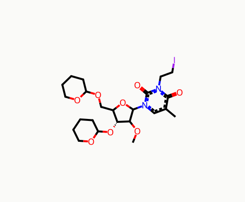 COC1C(n2cc(C)c(=O)n(CCI)c2=O)OC(COC2CCCCO2)[C@H]1OC1CCCCO1